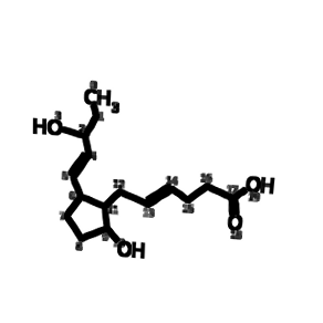 CCC(O)C=CC1CCC(O)C1CC=CCCC(=O)O